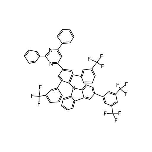 FC(F)(F)c1cccc(-c2cc(-c3cc(-c4ccccc4)nc(-c4ccccc4)n3)cc(-c3cccc(C(F)(F)F)c3)c2-n2c3ccccc3c3cc(-c4cc(C(F)(F)F)cc(C(F)(F)F)c4)ccc32)c1